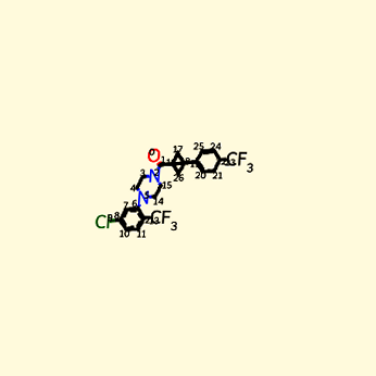 O=C(N1CCN(c2cc(Cl)ccc2C(F)(F)F)CC1)C12CC1(C1=CCC(C(F)(F)F)C=C1)C2